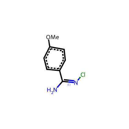 COc1ccc(/C(N)=N\Cl)cc1